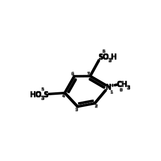 C[n+]1ccc(S(=O)(=O)O)cc1S(=O)(=O)O